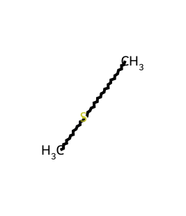 CCCCCCCCCCCCCCCCCCCCCCCCSCCCCCCCCCCCCCC